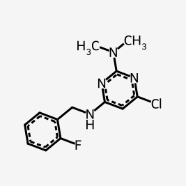 CN(C)c1nc(Cl)cc(NCc2ccccc2F)n1